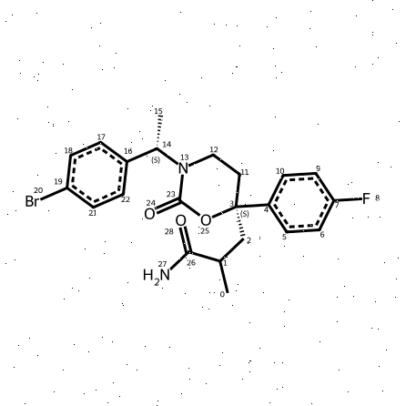 CC(C[C@@]1(c2ccc(F)cc2)CCN([C@@H](C)c2ccc(Br)cc2)C(=O)O1)C(N)=O